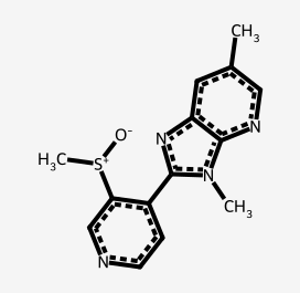 Cc1cnc2c(c1)nc(-c1ccncc1[S+](C)[O-])n2C